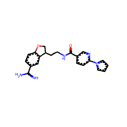 N=C(N)c1ccc2c(c1)C(CCNC(=O)c1ccc(-n3cccc3)nc1)CO2